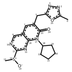 Cc1nnc(Cc2cc3cnc([S+](C)[O-])nc3n(C3CCCC3)c2=O)o1